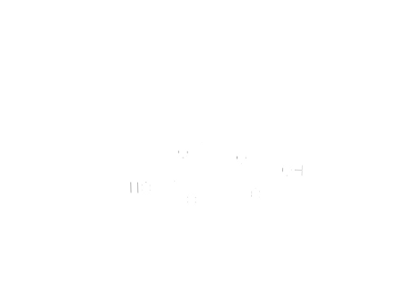 C=CC(OC(=O)O)C(C)OC(=O)O